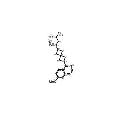 COc1ccc2c(N3CC4(CC(N(CC(O)C(F)(F)F)[SH]=O)C4)C3)ncnc2c1